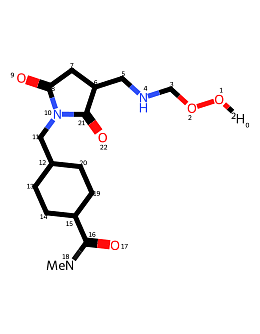 [2H]OOCNCC1CC(=O)N(CC2CCC(C(=O)NC)CC2)C1=O